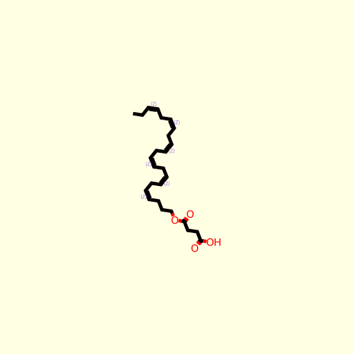 CC/C=C\C/C=C\C/C=C\C/C=C\C/C=C\C/C=C\CCCOC(=O)CCC(=O)O